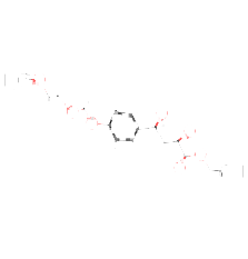 CCOC(=O)C(=O)CC(=O)c1ccc(OCOCCOC)cc1